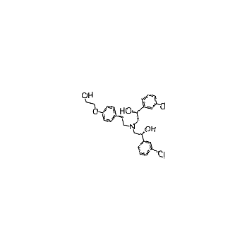 OCCOc1ccc(CCN(C[C@@H](O)c2cccc(Cl)c2)C[C@@H](O)c2cccc(Cl)c2)cc1